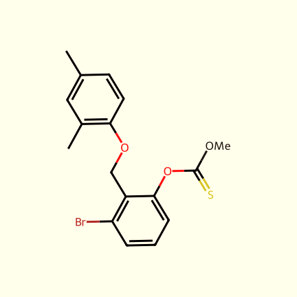 COC(=S)Oc1cccc(Br)c1COc1ccc(C)cc1C